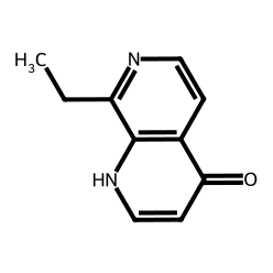 CCc1nccc2c(=O)cc[nH]c12